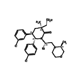 CC[C@@H](CN1CCOC[C@@H]1C)N1C(=O)[C@](C)(CC(=O)O)C[C@H](c2cccc(Cl)c2)[C@H]1c1ccc(Cl)cc1